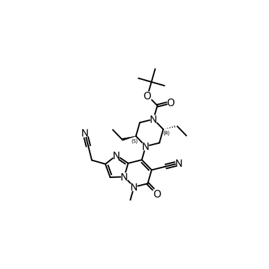 CC[C@@H]1CN(c2c(C#N)c(=O)n(C)n3cc(CC#N)nc23)[C@@H](CC)CN1C(=O)OC(C)(C)C